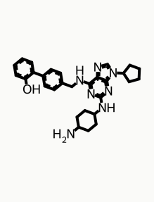 NC1CCC(Nc2nc(NCc3ccc(-c4ccccc4O)cc3)c3ncn(C4CCCC4)c3n2)CC1